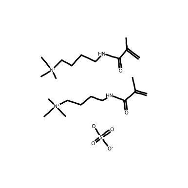 C=C(C)C(=O)NCCCC[N+](C)(C)C.C=C(C)C(=O)NCCCC[N+](C)(C)C.O=S(=O)([O-])[O-]